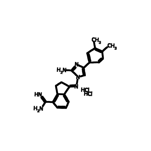 Cc1ccc(-c2cn(/N=C3\CCc4c(C(=N)N)cccc43)c(N)n2)cc1C.Cl.Cl